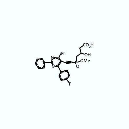 COP(=O)(C#Cc1c(-c2ccc(F)cc2)nc(-c2ccccc2)nc1C(C)C)CC(O)CC(=O)O